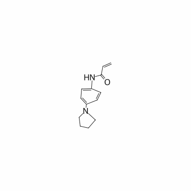 C=CC(=O)Nc1ccc(N2CCCC2)cc1